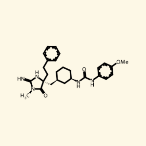 COc1ccc(NC(=O)N[C@@H]2CCC[C@H](C[C@@]3(CCc4ccccc4)NC(=N)N(C)C3=O)C2)cc1